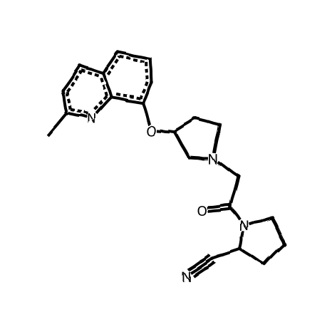 Cc1ccc2cccc(OC3CCN(CC(=O)N4CCCC4C#N)C3)c2n1